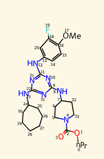 CCCOC(=O)N1CCC(Nc2nc(Nc3ccc(OC)c(F)c3)nc(NC3CCCCCC3)n2)CC1